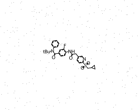 CC(C)(C)N(C(=O)c1ccc(NC(=O)Cc2ccc(S(=O)(=O)CC3CC3)nc2)c(F)c1)c1ccccc1